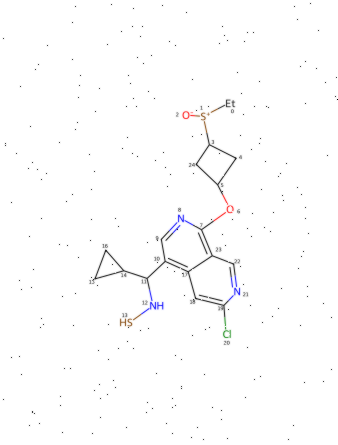 CC[S+]([O-])C1CC(Oc2ncc(C(NS)C3CC3)c3cc(Cl)ncc23)C1